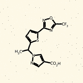 CC(c1ccc(-c2noc(C(F)(F)F)n2)s1)n1cc(C(=O)O)cn1